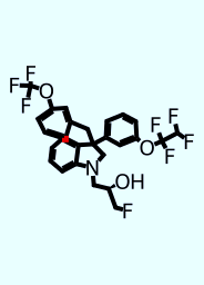 O[C@@H](CF)CN1CC(Cc2cccc(OC(F)(F)F)c2)(c2cccc(OC(F)(F)C(F)F)c2)c2ccccc21